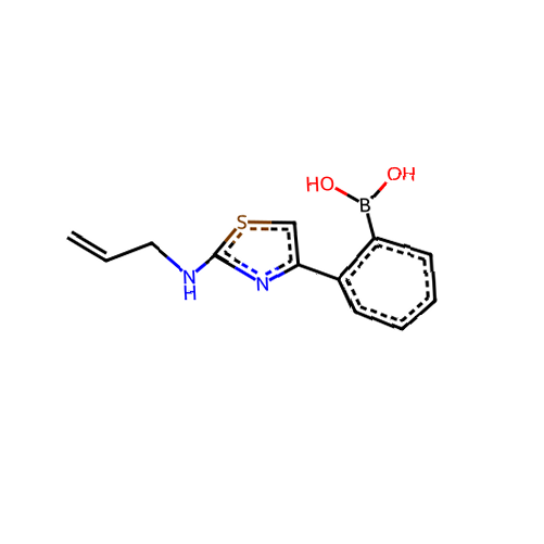 C=CCNc1nc(-c2ccccc2B(O)O)cs1